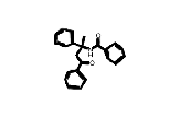 CC(CC(=O)c1ccccc1)(NC(=O)c1ccccc1)c1ccccc1